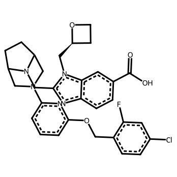 O=C(O)c1ccc2nc(CN3C4CCC3CN(c3cccc(OCc5ccc(Cl)cc5F)n3)C4)n(C[C@@H]3CCO3)c2c1